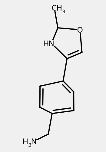 CC1NC(c2ccc(CN)cc2)=CO1